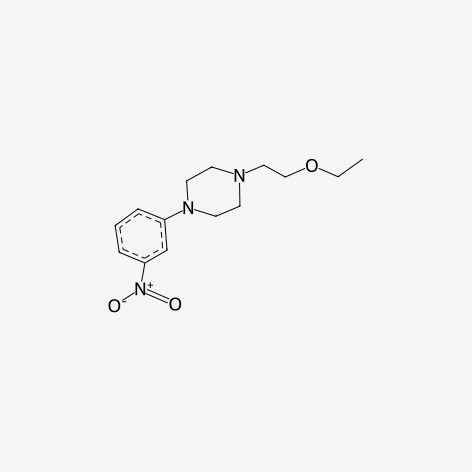 CCOCCN1CCN(c2cccc([N+](=O)[O-])c2)CC1